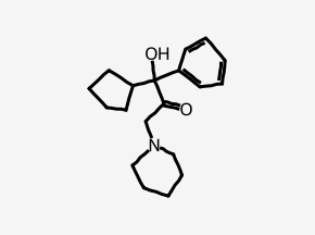 O=C(CN1CCCCC1)C(O)(c1ccccc1)C1CCCC1